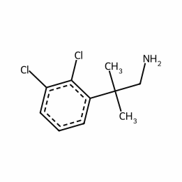 CC(C)(CN)c1cccc(Cl)c1Cl